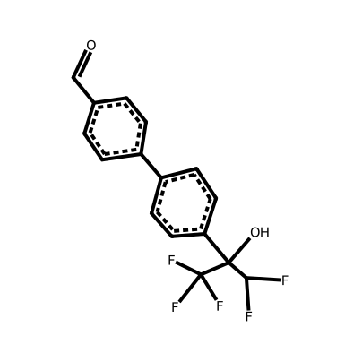 O=Cc1ccc(-c2ccc(C(O)(C(F)F)C(F)(F)F)cc2)cc1